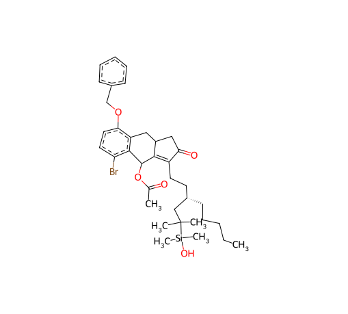 CCCCC[C@@H](CCC1=C2C(CC1=O)Cc1c(OCc3ccccc3)ccc(Br)c1C2OC(C)=O)CC(C)(C)[Si](C)(C)O